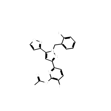 CC(=O)Oc1nc(-c2cc(-c3ccon3)n(Cc3ccccc3F)n2)ccc1F